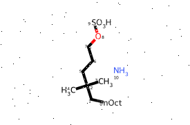 CCCCCCCCCC(C)(C)CCCOS(=O)(=O)O.N